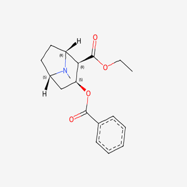 CCOC(=O)[C@H]1[C@@H](OC(=O)c2ccccc2)C[C@@H]2CC[C@H]1N2C